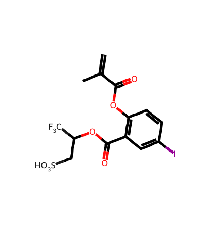 C=C(C)C(=O)Oc1ccc(I)cc1C(=O)OC(CS(=O)(=O)O)C(F)(F)F